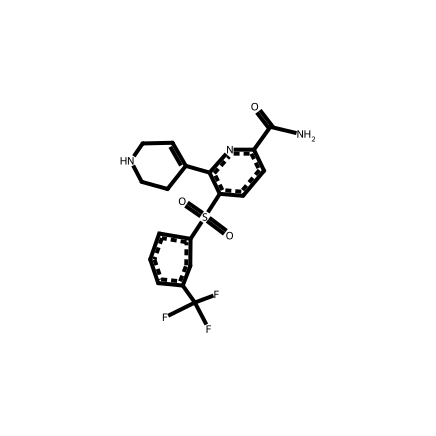 NC(=O)c1ccc(S(=O)(=O)c2cccc(C(F)(F)F)c2)c(C2=CCNCC2)n1